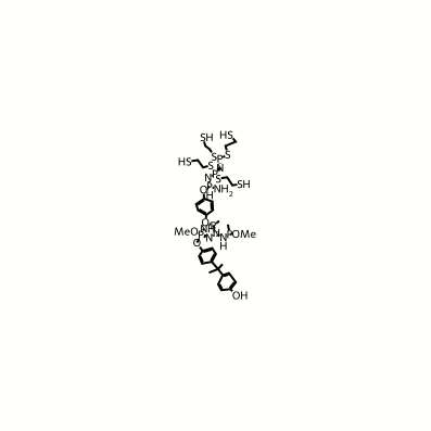 COP(C)NN(N=P(N)(OC)Oc1ccc(C(C)(C)c2ccc(O)cc2)cc1)P(C)Oc1ccc(O/[PH](N)=N/P(=NP(SCCS)SCCS)(SCCS)SCCS)cc1